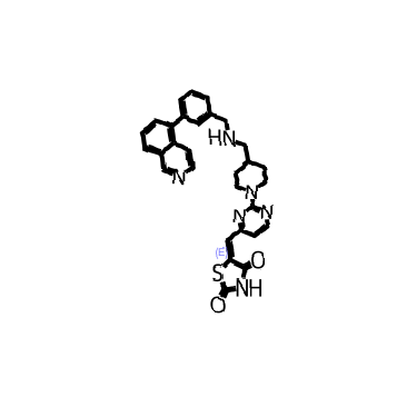 O=C1NC(=O)/C(=C\c2ccnc(N3CCC(CNCc4cccc(-c5cccc6cnccc56)c4)CC3)n2)S1